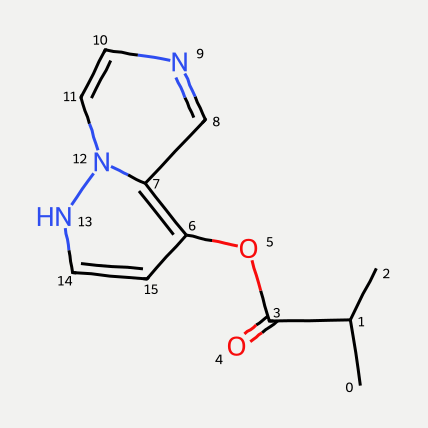 CC(C)C(=O)OC1=C2C=NC=CN2NC=C1